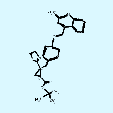 Cc1cc(COc2ccc(C[C@]3(C4=NCCS4)C[C@@H]3C(=O)OC(C)(C)C)cc2)c2ccccc2n1